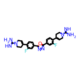 N=C(N)N1CC=C(c2ccc(-c3nnc(-c4ccc(C5=CCN(C(=N)N)CC5)c(F)c4)o3)cc2F)CC1